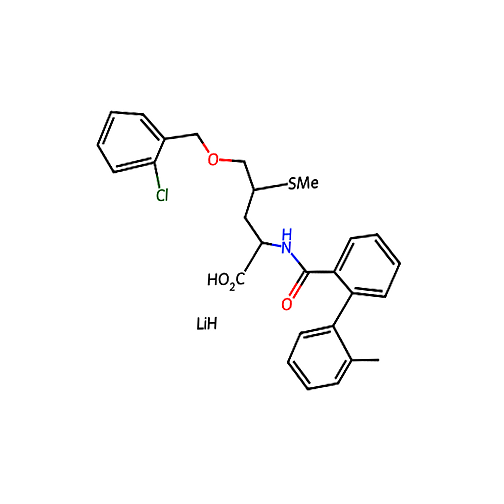 CSC(COCc1ccccc1Cl)CC(NC(=O)c1ccccc1-c1ccccc1C)C(=O)O.[LiH]